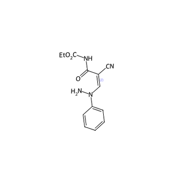 CCOC(=O)NC(=O)/C(C#N)=C\N(N)c1ccccc1